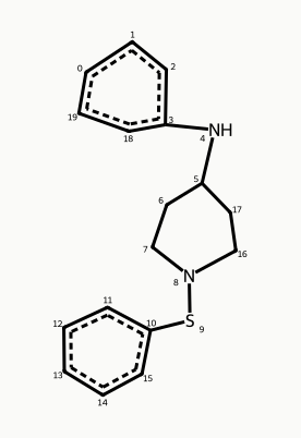 c1ccc(NC2CCN(Sc3ccccc3)CC2)cc1